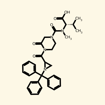 CC(C)[C@@H](C(=O)O)N(C)C(=O)N1CCN(C(=O)C2CN2C(c2ccccc2)(c2ccccc2)c2ccccc2)C(=O)C1